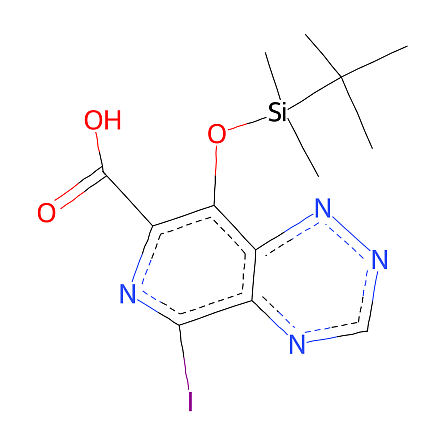 CC(C)(C)[Si](C)(C)Oc1c(C(=O)O)nc(I)c2ncnnc12